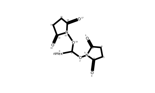 CCCCCCC(ON1C(=O)CCC1=O)ON1C(=O)CCC1=O